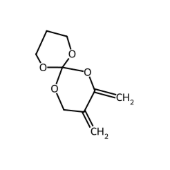 C=C1COC2(OCCCO2)OC1=C